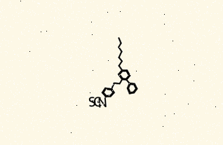 CCCCCCCc1ccc(-c2ccccc2)c(CCc2ccc(N=C=S)cc2)c1